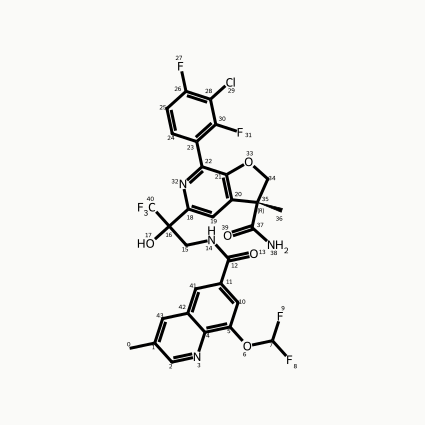 Cc1cnc2c(OC(F)F)cc(C(=O)NCC(O)(c3cc4c(c(-c5ccc(F)c(Cl)c5F)n3)OC[C@]4(C)C(N)=O)C(F)(F)F)cc2c1